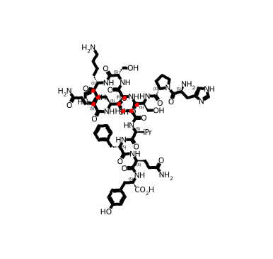 CC(C)[C@H](NC(=O)[C@H](C)NC(=O)[C@H](Cc1c[nH]cn1)NC(=O)[C@H](CCC(N)=O)NC(=O)[C@H](CCCCN)NC(=O)[C@H](CO)NC(=O)[C@H](CS)NC(=O)[C@H](CO)NC(=O)[C@@H]1CCCN1C(=O)[C@@H](N)Cc1c[nH]cn1)C(=O)N[C@@H](Cc1ccccc1)C(=O)N[C@@H](CCC(N)=O)C(=O)N[C@@H](Cc1ccc(O)cc1)C(=O)O